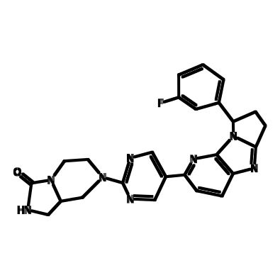 O=C1NCC2CN(c3ncc(-c4ccc5nc6n(c5n4)C(c4cccc(F)c4)CC6)cn3)CCN12